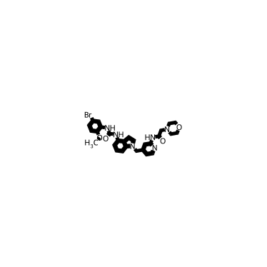 COc1ccc(Br)cc1NC(=O)Nc1cccc2c1ccn2Cc1ccnc(NC(=O)CN2CCOCC2)c1